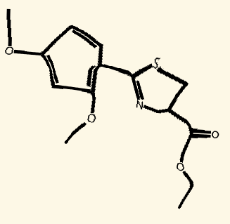 CCOC(=O)C1CSC(c2ccc(OC)cc2OC)=N1